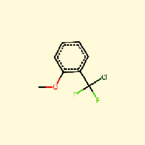 COc1ccccc1C(F)(F)Cl